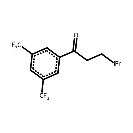 CC(C)CCC(=O)c1cc(C(F)(F)F)cc(C(F)(F)F)c1